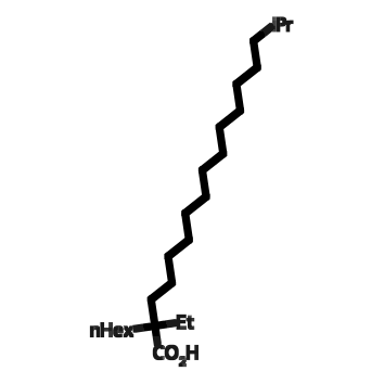 CCCCCCC(CC)(CCCCCCCCCCCCCC(C)C)C(=O)O